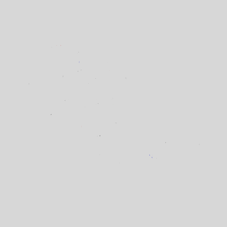 C=CCN(CC=C)c1ccc(OCc2ccccc2/C(=C\OC)C(=O)OC)c(F)c1